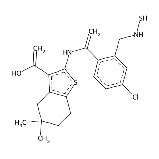 C=C(Nc1sc2c(c1C(=C)O)CC(C)(C)CC2)c1ccc(Cl)cc1CNS